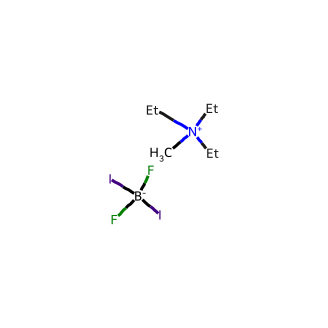 CC[N+](C)(CC)CC.F[B-](F)(I)I